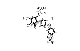 Cc1[n-]c(COP(=O)(O)O)c(-c2ccc(Oc3ccc(OC(F)(F)F)cc3)cc2)c(=O)c1Cl.[K+]